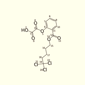 O=C(O)C(=O)Oc1ccccc1C(=O)OCCCCC(Cl)(Cl)Cl